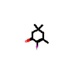 CC1=C(I)C(=O)CC(C)(C)C1